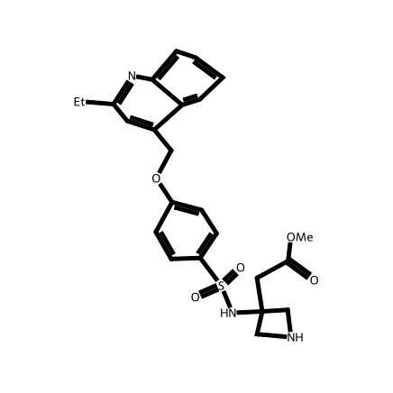 CCc1cc(COc2ccc(S(=O)(=O)NC3(CC(=O)OC)CNC3)cc2)c2ccccc2n1